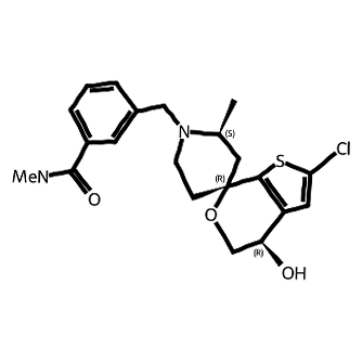 CNC(=O)c1cccc(CN2CC[C@]3(C[C@@H]2C)OC[C@H](O)c2cc(Cl)sc23)c1